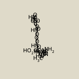 CN(Cc1cnc2nc(N)nc(N)c2n1)c1ccc(C(=O)N[C@@H](CCC(=O)NCCOCCOCCOCCNC(=O)COc2ccc3c(c2)C(=O)N(C2CCC(=O)NC2=O)C3=O)C(=O)O)cc1